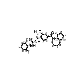 Cc1cc(C(=O)N2CCCSc3ccccc32)ccc1CNC(=O)Nc1c(F)cccc1F